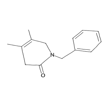 CC1=C(C)CN(Cc2ccccc2)C(=O)C1